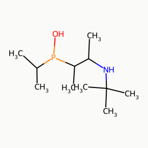 CC(NC(C)(C)C)C(C)P(O)C(C)C